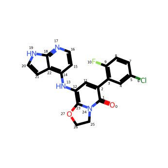 O=c1c(-c2cc(Cl)ccc2F)cc(Nc2ccnc3[nH]ccc23)c2n1CCO2